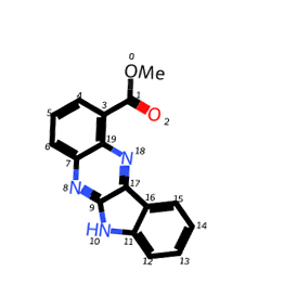 COC(=O)c1cccc2nc3[nH]c4ccccc4c3nc12